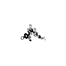 CCn1nc(-c2cnc3[nH]cc(C(=O)N[C@H](C)C(=O)N4CC(N)C4)c3n2)c2ccc(Cl)cc21